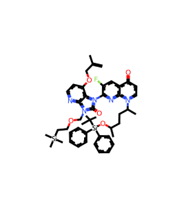 C=C(C)COc1ccnc2c1n(-c1nc3c(cc1F)c(=O)ccn3C(C)CCC(C)O[Si](c1ccccc1)(c1ccccc1)C(C)(C)C)c(=O)n2COCC[Si](C)(C)C